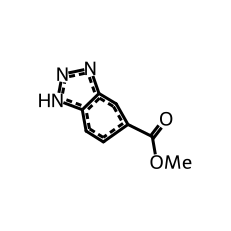 COC(=O)c1ccc2[nH]nnc2c1